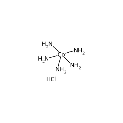 Cl.[NH2][Co]([NH2])([NH2])([NH2])[NH2]